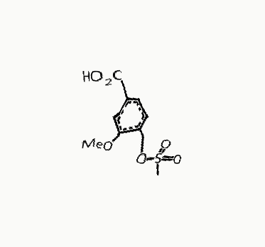 COc1cc(C(=O)O)ccc1OS(C)(=O)=O